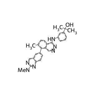 CNc1ncc2cc(-c3c(C)ccc4c(Nc5cccc(C(C)(C)O)c5)nncc34)ccc2n1